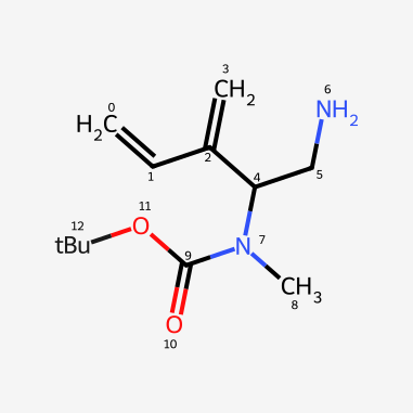 C=CC(=C)C(CN)N(C)C(=O)OC(C)(C)C